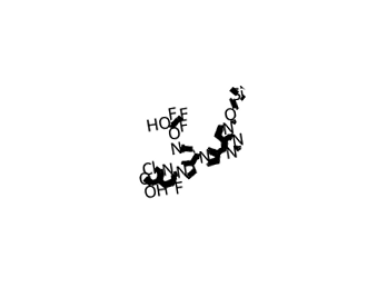 C[Si](C)(C)CCOCn1ccc2c(-c3ccn([C@@H](CC#N)[C@H]4CCN(c5nc(Cl)c(C(=O)O)cc5F)C4)c3)ncnc21.O=C(O)C(F)(F)F